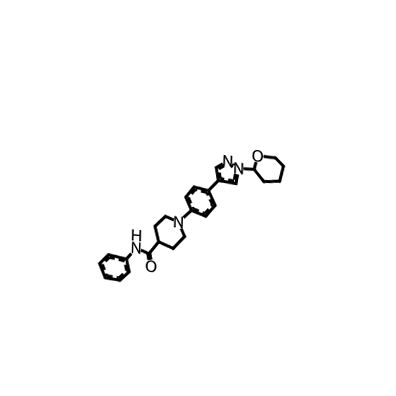 O=C(Nc1ccccc1)C1CCN(c2ccc(-c3cnn(C4CCCCO4)c3)cc2)CC1